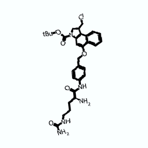 CC(C)(C)OC(=O)N1CC(CCl)c2c1cc(OCc1ccc(NC(=O)[C@@H](N)CCCNC(N)=O)cc1)c1ccccc21